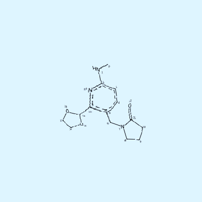 CNc1ccc(CN2CCCC2=O)c(C2OCCO2)n1